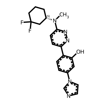 CN(c1ccc(-c2ccc(-n3ccnc3)cc2O)nn1)[C@H]1CCCC(F)(F)C1